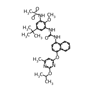 COc1c(NC(=O)Nc2ccc(Oc3cc(C)nc(OC(C)C)n3)c3ccccc23)cc(C(C)(C)C)cc1NS(C)(=O)=O